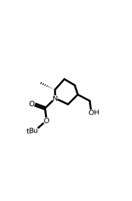 C[C@@H]1CCC(CO)CN1C(=O)OC(C)(C)C